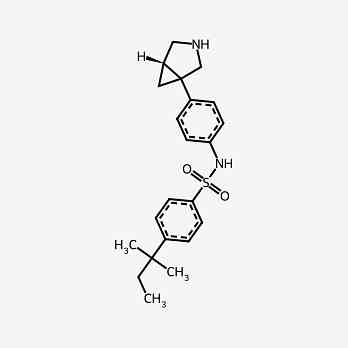 CCC(C)(C)c1ccc(S(=O)(=O)Nc2ccc(C34CNC[C@H]3C4)cc2)cc1